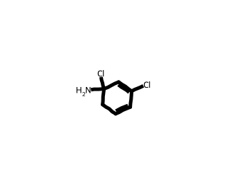 NC1(Cl)C=C(Cl)C=CC1